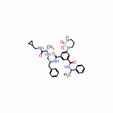 C[C@H](NC[C@H](Cc1ccccc1)NC(=O)c1cc(C(=O)N[C@H](C)c2ccccc2)cc(N2CCCNS2(=O)=O)c1)C(=O)NCC1CC1